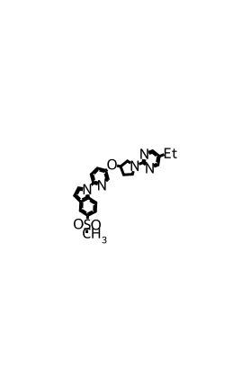 CCc1cnc(N2CCC(Oc3ccc(-n4ccc5cc(S(C)(=O)=O)ccc54)nc3)C2)nc1